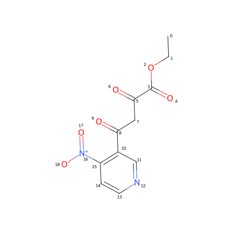 CCOC(=O)C(=O)CC(=O)c1cnccc1[N+](=O)[O-]